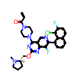 C=CC(=O)N1CCN(c2nc(OC[C@@H]3CCCN3C)nc3c(F)c(-c4cccc5ccc(F)c(Cl)c45)ncc23)CC1